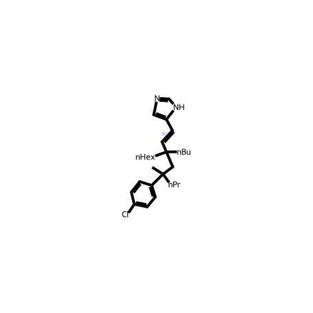 CCCCCCC(/C=C/c1cnc[nH]1)(CCCC)CC(C)(CCC)c1ccc(Cl)cc1